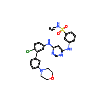 CNS(=O)(=O)c1cccc(Nc2cc(Nc3ccc(Cl)c(-c4cccc(N5CCOCC5)c4)c3)ncn2)c1